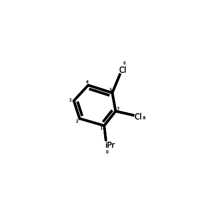 [CH2]C(C)c1cccc(Cl)c1Cl